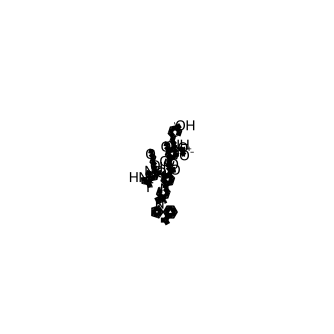 COCCOc1nc2[nH]cc(F)c2cc1Oc1cc(N2CCC3(CC2)CN([C@H]2CCC[C@H]2c2ccccc2C(C)C)C3)ccc1C(=O)NS(=O)(=O)c1cc2c(c([N+](=O)[O-])c1)N[C@@H]([C@H]1CC[C@](C)(O)CC1)CO2